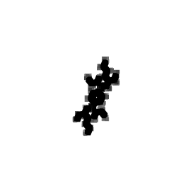 CCCCC(CC)CN(c1ccc(N(CC(CC)CCCC)C(C)CC)cc1)C(C)CC